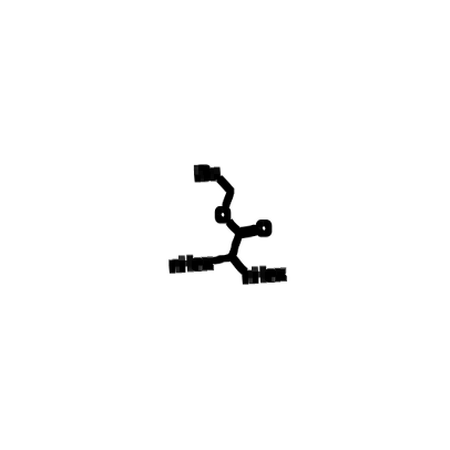 CCCCCCC(CCCCCC)C(=O)OCC(C)CC